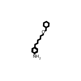 Nc1ccc(CCCCCCOCC2CCCCC2)cc1